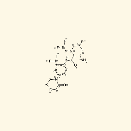 NC[C@H](C(=O)Nc1ccc(N2CCOCC2=O)cc1C(F)F)N(CC(F)F)CC(F)F